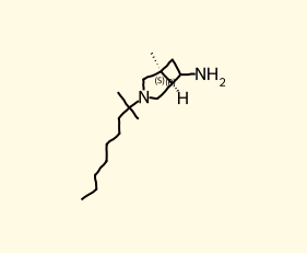 CCCCCCCC(C)(C)N1C[C@@H]2C(N)C[C@]2(C)C1